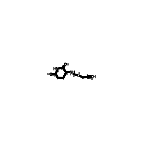 C#CCCCNC1CCC(=O)NC1=O